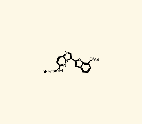 CCCCCNc1ccc2ncc(-c3cc4cccc(OC)c4s3)n2n1